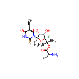 BC(B)(OC(=O)[C@@H](N)C(C)C)[C@@]1(F)O[C@@](B)(n2cc(C#C)c(=O)[nH]c2=S)[C@H](O)[C@@H]1O